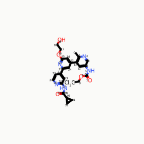 Cc1ncc(NC(=O)OCC(Cl)(Cl)Cl)cc1-c1cc(OCCO)nc(-c2ccnc(NC(=O)C3CC3)c2)c1